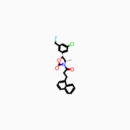 C[C@H]1[C@@H](c2cc(Cl)cc(CF)c2)OC(=O)N1C(=O)CCc1cccc2ccccc12